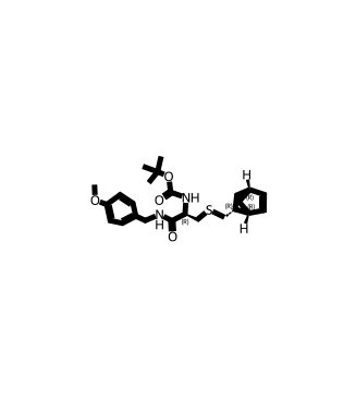 COc1ccc(CNC(=O)[C@H](CSC[C@@H]2C[C@@H]3C=C[C@H]2C3)NC(=O)OC(C)(C)C)cc1